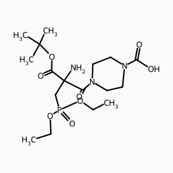 CCOP(=O)(CC(N)(C(=O)OC(C)(C)C)C(=O)N1CCN(C(=O)O)CC1)OCC